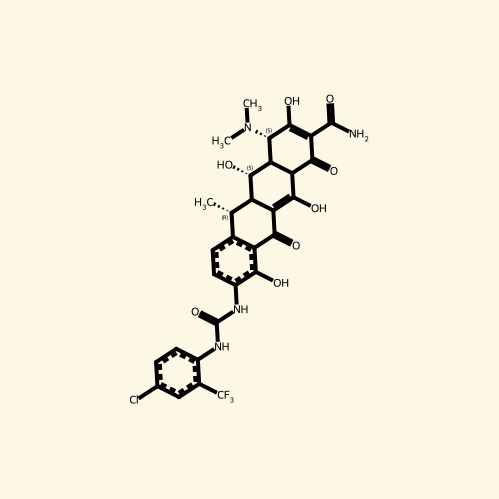 C[C@H]1c2ccc(NC(=O)Nc3ccc(Cl)cc3C(F)(F)F)c(O)c2C(=O)C2=C(O)C3C(=O)C(C(N)=O)=C(O)[C@@H](N(C)C)C3[C@@H](O)C21